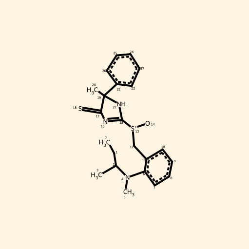 CCC(C)N(C)c1ccccc1C[S+]([O-])C1=NC(=S)C(C)(c2ccccc2)N1